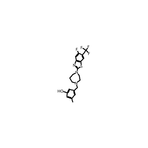 Cc1cc(O)cc(CN2CCCN(c3nc4cc(F)c(C(F)(F)F)cc4s3)CC2)c1